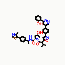 Cc1ncsc1-c1ccc(C(C)NC(=O)[C@@H]2C[C@@H](O)CN2C(=O)C(c2cc(-c3ccc(-c4cnnc(-c5ccccc5O)c4)cc3)no2)C(C)C)cc1